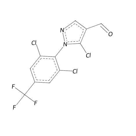 O=Cc1cnn(-c2c(Cl)cc(C(F)(F)F)cc2Cl)c1Cl